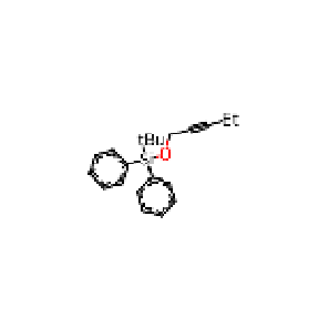 CCC#CCO[Si](c1ccccc1)(c1ccccc1)C(C)(C)C